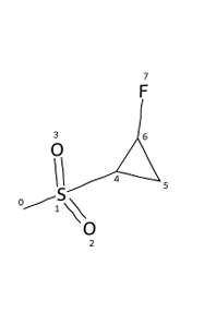 CS(=O)(=O)C1CC1F